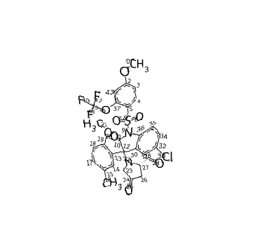 COc1ccc(S(=O)(=O)N2C(=O)C(c3cc(C)ccc3OC)(N3CC(=O)C[C@H]3C=O)c3cc(Cl)ccc32)c(OC(F)(F)F)c1